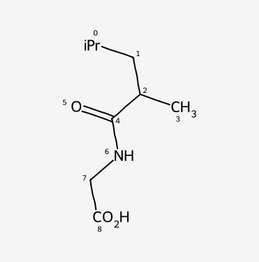 CC(C)CC(C)C(=O)NCC(=O)O